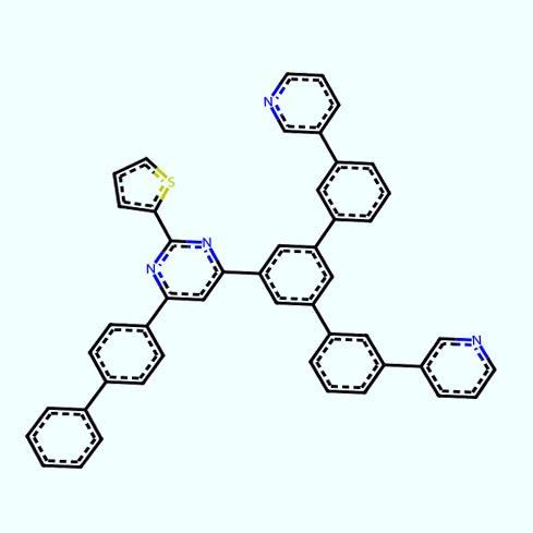 c1ccc(-c2ccc(-c3cc(-c4cc(-c5cccc(-c6cccnc6)c5)cc(-c5cccc(-c6cccnc6)c5)c4)nc(-c4cccs4)n3)cc2)cc1